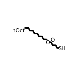 CCCCCCCC/C=C\CCCCCCCCOC(=O)CCCS